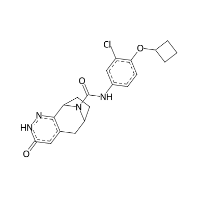 O=C(Nc1ccc(OC2CCC2)c(Cl)c1)N1C2CCC1c1n[nH]c(=O)cc1C2